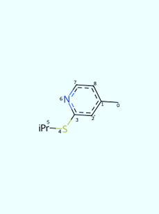 Cc1[c]c(SC(C)C)ncc1